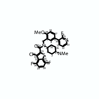 CN[C@H]1CC[C@@H](N(Cc2cc(-c3cccnc3F)ccc2OC)C(=O)c2sc3c(F)ccc(F)c3c2Cl)CC1